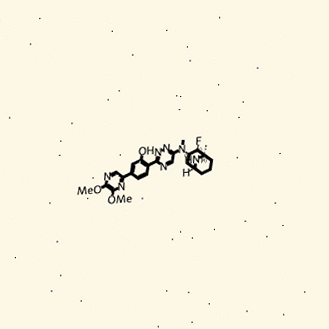 COc1ncc(-c2ccc(-c3ncc(N(C)[C@H]4C[C@@H]5CCC[C@@](C)(N5)[C@H]4F)nn3)c(O)c2)nc1OC